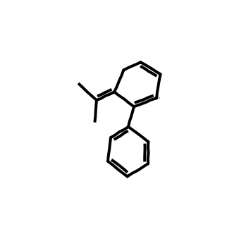 CC(C)=C1CC=C[C]=C1c1ccccc1